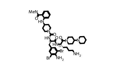 CNC(=O)c1ccccc1NC1CCN(C(=O)N[C@H](Cc2cc(Br)c(N)c(Br)c2)C(=O)N[C@@H](CCCCN)C(=O)N2CCC(N3CCCCC3)CC2)CC1